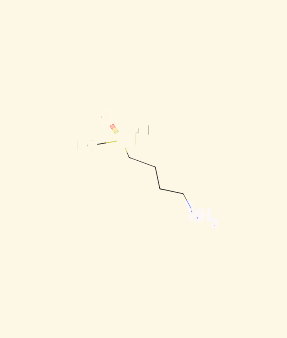 C[SH](C)(=O)CCCCN